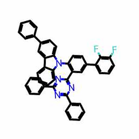 Fc1cccc(-c2ccc(-n3c4ccccc4c4cc(-c5ccccc5)ccc43)c(-c3nc(-c4ccccc4)nc(-c4ccccc4)n3)c2)c1F